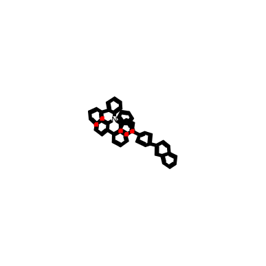 c1ccc(-c2ccccc2N(c2ccc(-c3ccc(-c4ccc5ccccc5c4)cc3)cc2)c2ccccc2-c2cccc3oc4ccccc4c23)cc1